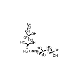 N.N.O=C(O)O.O=P(O)(O)O.O=P(O)(O)O.O=P(O)(O)O.[Fe].[Fe].[Fe].[LiH].[LiH]